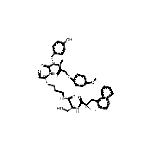 COc1ccc(CCC(=O)N(C)[C@@H](Cc2ccc(O)cc2)C(=O)N[C@@H]([C]=O)CCCCNC(=O)[C@H](CO)NC(=O)[C@@H](N)Cc2cccc3ccccc23)cc1